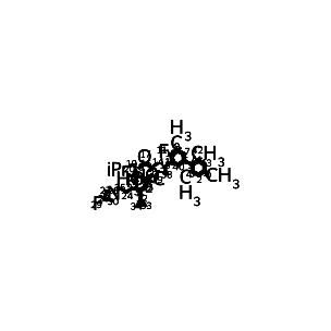 Cc1cc(C)c(-c2cc(C)c(F)c([C@@H](CCC(=O)[C@H](CC(C)C)n3nc(CCN4CC(F)C4)c(C4CC4)cc3=O)CC(=O)O)c2)c(C)c1